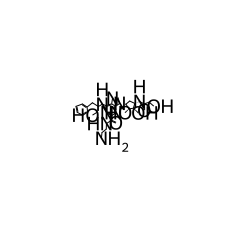 NCCNC(=O)c1nc(N[C@H](CO)Cc2ccccc2)c2ncn([C@@H]3C[C@H](NC(=O)CO)[C@@H](O)[C@H]3O)c2n1